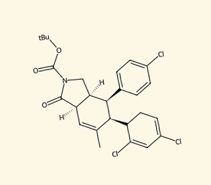 CC1=C[C@H]2C(=O)N(C(=O)OC(C)(C)C)C[C@H]2[C@@H](c2ccc(Cl)cc2)[C@H]1C1CC=C(Cl)C=C1Cl